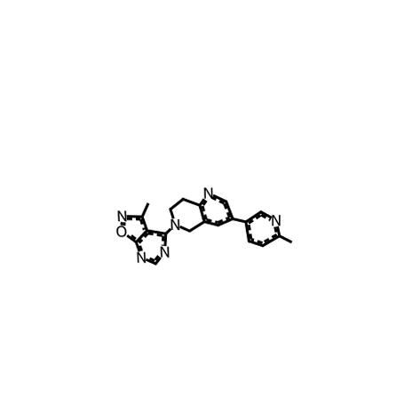 Cc1ccc(-c2cnc3c(c2)CN(c2ncnc4onc(C)c24)CC3)cn1